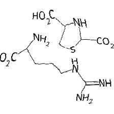 N=C(N)NCCCC(N)C(=O)O.O=C(O)C1CSC(C(=O)O)N1